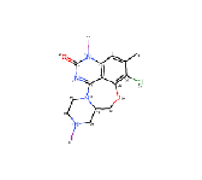 Cc1cc2c3c(nc(=O)n2I)N2CCN(I)CC2COc3c1Cl